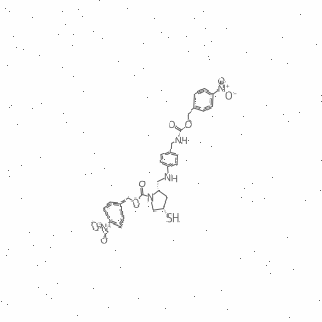 O=C(NCc1ccc(NC[C@@H]2C[C@H](S)CN2C(=O)OCc2ccc([N+](=O)[O-])cc2)cc1)OCc1ccc([N+](=O)[O-])cc1